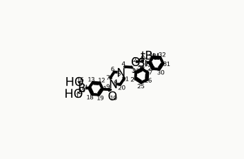 CC(C)(C)[Si](OCCN1CCN(C(=O)c2ccc(B(O)O)cc2)CC1)(c1ccccc1)c1ccccc1